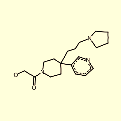 [O]CC(=O)N1CCC(CCCN2CCCC2)(c2cccnc2)CC1